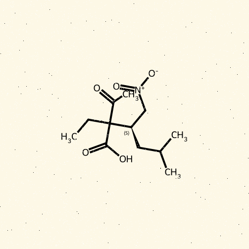 CCC(C(C)=O)(C(=O)O)[C@H](CC(C)C)C[N+](=O)[O-]